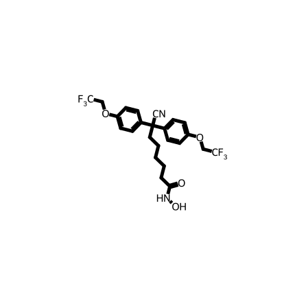 N#CC(CCCCCC(=O)NO)(c1ccc(OCC(F)(F)F)cc1)c1ccc(OCC(F)(F)F)cc1